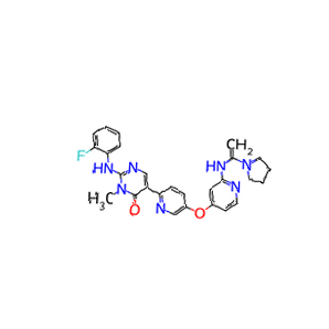 C=C(Nc1cc(Oc2ccc(-c3cnc(Nc4ccccc4F)n(C)c3=O)nc2)ccn1)N1CCCC1